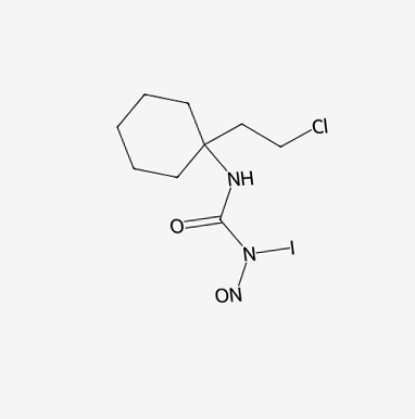 O=NN(I)C(=O)NC1(CCCl)CCCCC1